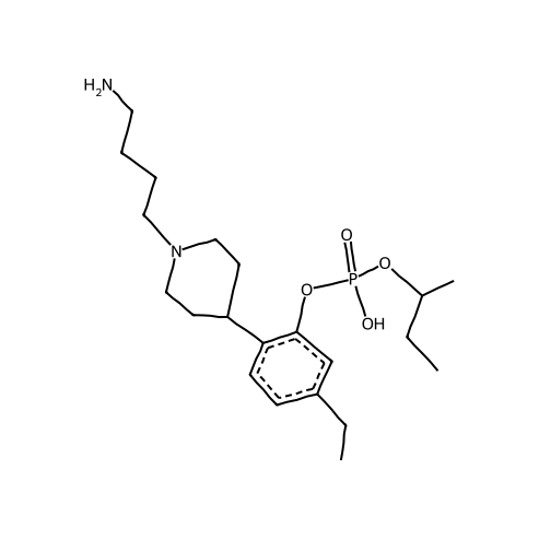 CCc1ccc(C2CCN(CCCCN)CC2)c(OP(=O)(O)OC(C)CC)c1